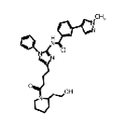 Cn1cc(-c2cccc(C(=O)Nc3nc(CCCC(=O)N4CCCCC4CCO)cn3-c3ccccc3)c2)cn1